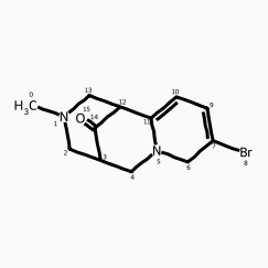 CN1CC2CN3CC(Br)=CC=C3C(C1)C2=O